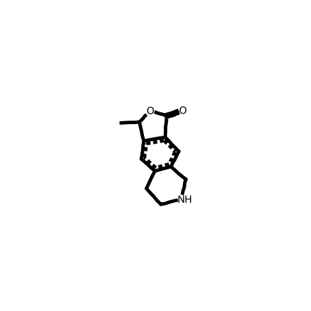 CC1OC(=O)c2cc3c(cc21)CCNC3